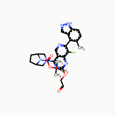 Cc1ccc2[nH]ncc2c1-c1ncc2c(N3CC4CCC(C3)N4C(=O)OC(C)(C)C)nc(OCC=O)nc2c1F